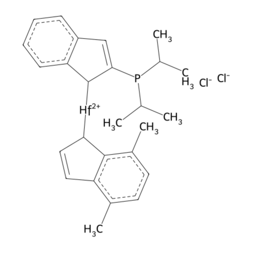 Cc1ccc(C)c2c1C=C[CH]2[Hf+2][CH]1C(P(C(C)C)C(C)C)=Cc2ccccc21.[Cl-].[Cl-]